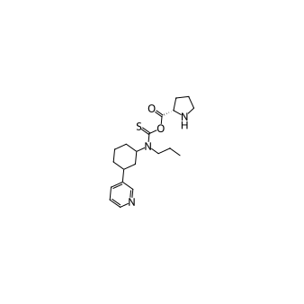 CCCN(C(=S)OC(=O)[C@@H]1CCCN1)C1CCCC(c2cccnc2)C1